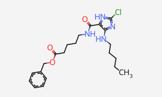 CCCCCNc1nc(Cl)[nH]c1C(=O)NCCCCC(=O)OCc1ccccc1